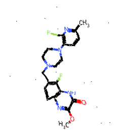 COc1nc2ccc(CN3CCN(c4ccc(C)nc4F)CC3)c(F)c2[nH]c1=O